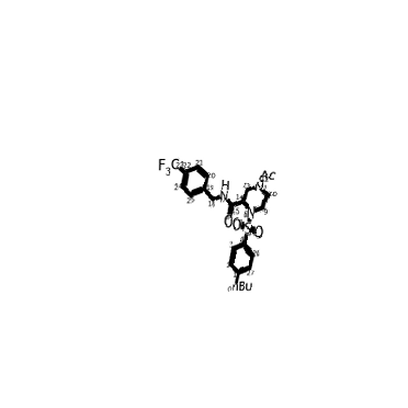 CCCCc1ccc(S(=O)(=O)N2CCN(C(C)=O)CC2C(=O)NCc2ccc(C(F)(F)F)cc2)cc1